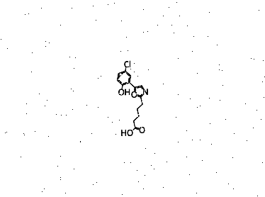 O=C(O)CCCCc1ncc(-c2cc(Cl)ccc2O)o1